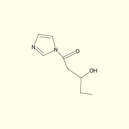 CCC(O)CC(=O)n1ccnc1